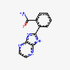 NC(=O)c1ccccc1-c1nc2nccnc2[nH]1